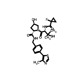 Cc1ncsc1-c1ccc(CNC(=O)[C@@H]2C[C@@H](O)CN2C(=O)[C@H](NC(=O)C2(F)CC2)C(C)(C)S)cc1